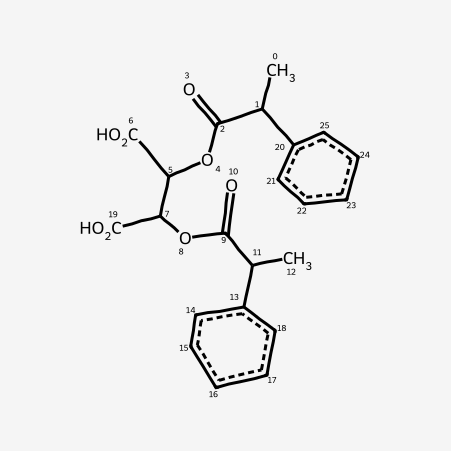 CC(C(=O)OC(C(=O)O)C(OC(=O)C(C)c1ccccc1)C(=O)O)c1ccccc1